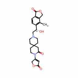 Cc1c([C@H](O)CN2CCC3(CC2)CCN(C2=CC(=O)OC2)C(=O)C3)ccc2c1COC2=O